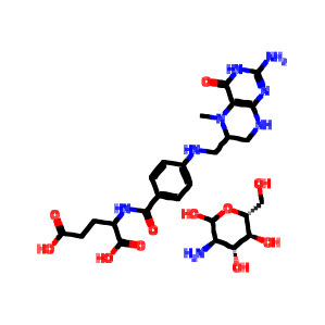 CN1c2c(nc(N)[nH]c2=O)NCC1CNc1ccc(C(=O)NC(CCC(=O)O)C(=O)O)cc1.N[C@H]1C(O)O[C@H](CO)[C@@H](O)[C@@H]1O